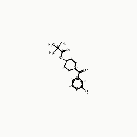 CC(C)(C)C(=O)ON1CCN(C(=O)c2cccc(Cl)c2)CC1